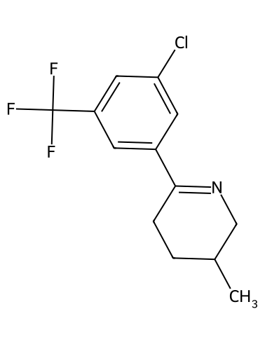 CC1CCC(c2cc(Cl)cc(C(F)(F)F)c2)=NC1